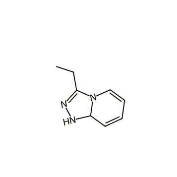 CCC1=NNC2C=CC=CN12